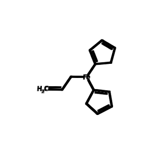 C=C[CH2][Fe]([C]1=CC=CC1)[C]1=CC=CC1